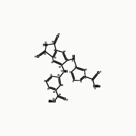 COC(=O)c1cccc(Nc2cc3c(cc2Nc2cccc(C(=O)OC)c2)C(=O)NC3=O)c1